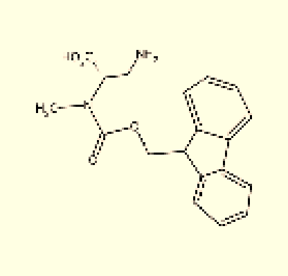 CN(C(=O)OCC1c2ccccc2-c2ccccc21)[C@@H](CN)C(=O)O